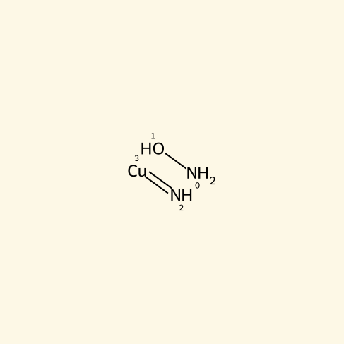 NO.[NH]=[Cu]